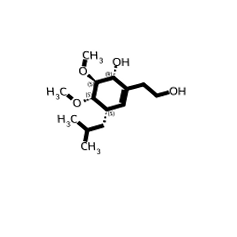 CO[C@@H]1[C@@H](OC)[C@H](O)C(CCO)=C[C@@H]1CC(C)C